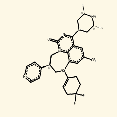 C[C@@H]1CN(c2nc(=O)n3c4c(cc(C(F)(F)F)cc24)[SH](C2=CCC(F)(F)CC2)C[C@@H](c2ccncc2)C3)C[C@H](C)N1